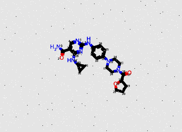 NC(=O)c1cnc(Nc2ccc(N3CCN(C(=O)C4CCCO4)CC3)cc2)nc1NC1CC1